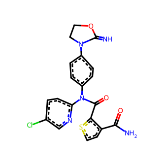 N=C1OCCN1c1ccc(N(C(=O)c2sccc2C(N)=O)c2ccc(Cl)cn2)cc1